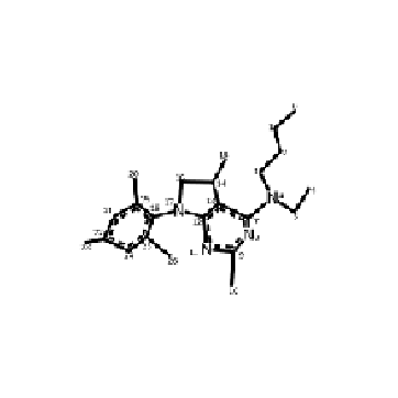 CCCCN(CC)c1nc(C)nc2c1C(C)CN2c1c(C)cc(C)cc1C